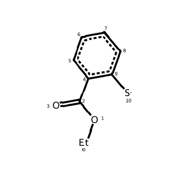 CCOC(=O)c1ccccc1[S]